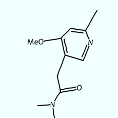 COc1cc(C)ncc1CC(=O)N(C)C